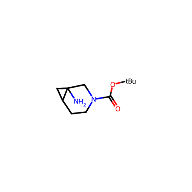 CC(C)(C)OC(=O)N1CCC2CC2(N)C1